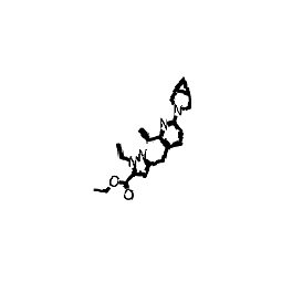 C=Cc1nc(N2CC3CC3C2)ccc1Cc1cc(C(=O)OCC)n(CC)n1